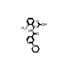 Cc1ccccc1[C@H](CC(=O)O)NC(=O)c1ccnc(N2CCCCC2)c1